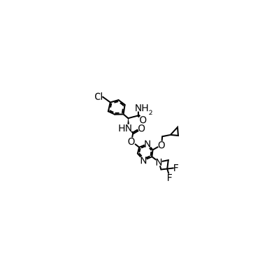 NC(=O)[C@@H](NC(=O)Oc1cnc(N2CC(F)(F)C2)c(OCC2CC2)n1)c1ccc(Cl)cc1